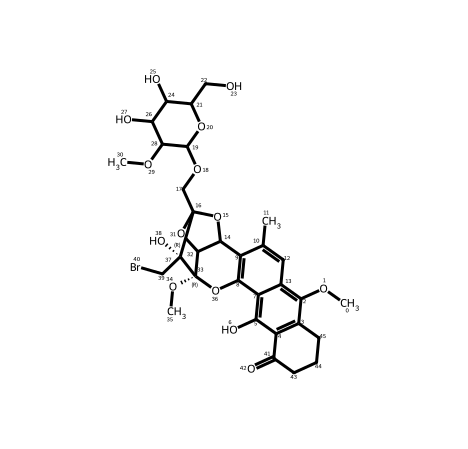 COc1c2c(c(O)c3c4c(c(C)cc13)C1OC3(COC5OC(CO)C(O)C(O)C5OC)OC1[C@@](OC)(O4)[C@@]3(O)CBr)C(=O)CCC2